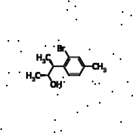 Cc1ccc([C@H](C)[C@H](C)O)c(Br)c1